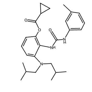 Cc1cccc(NC(=O)Nc2c(OC(=O)C3CC3)cccc2N(CC(C)C)CC(C)C)c1